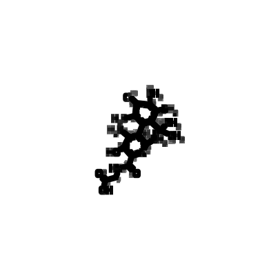 Bc1nc(C(=O)NCC(=O)O)c(O)c(B)c1-c1c(B)c(Cl)c(B)c(B)c1C(B)(B)B